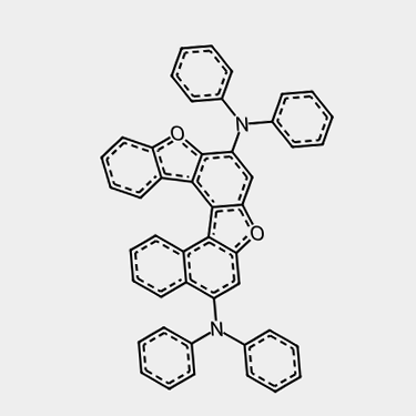 c1ccc(N(c2ccccc2)c2cc3oc4cc(N(c5ccccc5)c5ccccc5)c5oc6ccccc6c5c4c3c3ccccc23)cc1